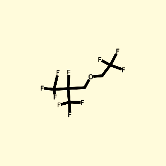 FC(F)(F)COCC(F)(C(F)(F)F)C(F)(F)F